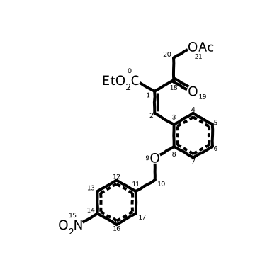 CCOC(=O)C(=Cc1ccccc1OCc1ccc([N+](=O)[O-])cc1)C(=O)COC(C)=O